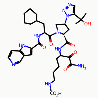 CC(C)(O)c1cnnn1[C@H]1C[C@@H](C(=O)NC(CCCCNC(=O)O)C(=O)C(N)=O)N(C(=O)C(CC2CCCCC2)NC(=O)c2cc3cnccc3[nH]2)C1